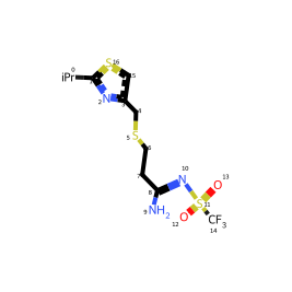 CC(C)c1nc(CSCCC(N)=NS(=O)(=O)C(F)(F)F)cs1